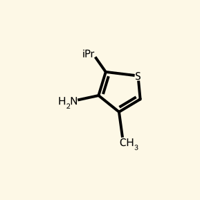 Cc1csc(C(C)C)c1N